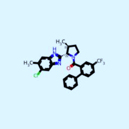 Cc1cc2[nH]c([C@@H]3[C@@H](C)CCN3C(=O)c3cc(C(F)(F)F)ccc3-c3ccccc3)nc2cc1Cl